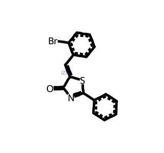 O=C1N=C(c2ccccc2)S/C1=C\c1ccccc1Br